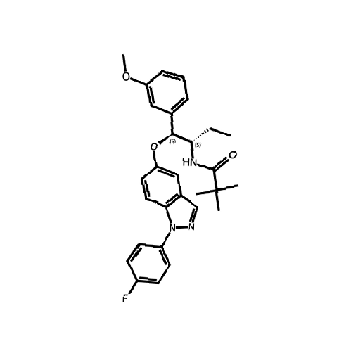 CC[C@H](NC(=O)C(C)(C)C)[C@@H](Oc1ccc2c(cnn2-c2ccc(F)cc2)c1)c1cccc(OC)c1